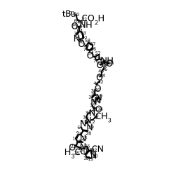 C[C@@H]1CN(c2ncc(-c3ccc4c(n3)N(Cc3cccnc3C#N)C(C)(C)C4=O)cn2)CCN1C(=O)Cn1cc(COCCOCCCS(=O)(=O)NC2CC(Oc3cccc(Oc4ccc(C(=O)N[C@@H](CCC(C)(C)C)C(=O)O)cn4)c3)C2)nn1